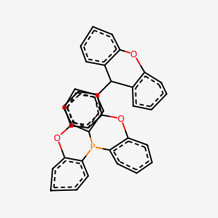 c1ccc2c(c1)Oc1ccccc1C2c1ccccc1Oc1ccccc1P1c2ccccc2Oc2ccccc21